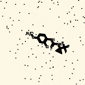 COc1ccc(NC(=S)NC2(C(F)(F)F)CC2)c(Cl)c1